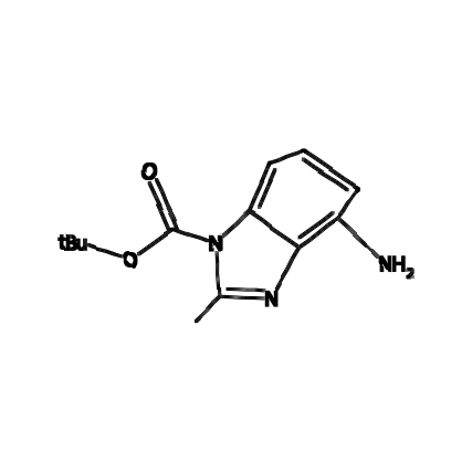 Cc1nc2c(N)cccc2n1C(=O)OC(C)(C)C